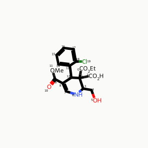 CCOC(=O)C1(C(=O)O)C(CO)NC=C(C(=O)OC)C1c1ccccc1Cl